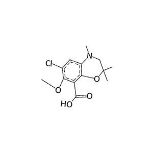 COc1c(Cl)cc2c(c1C(=O)O)OC(C)(C)CN2C